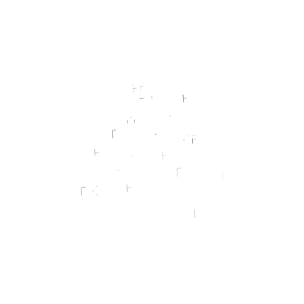 CCOC(F)(C(F)(F)C(F)(F)C(F)(F)F)C(F)(C(F)(F)F)C(F)(F)F.FC(F)F